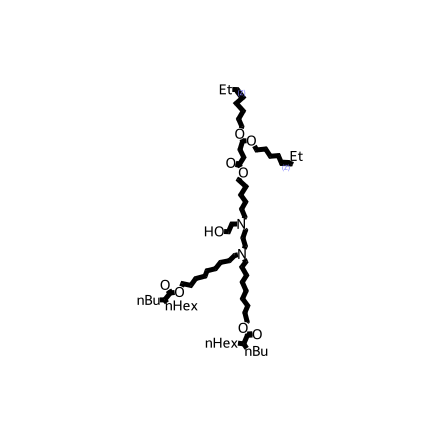 CC/C=C\CCCCOC(CCC(=O)OCCCCCCN(CCO)CCCN(CCCCCCCCCOC(=O)C(CCCC)CCCCCC)CCCCCCCCCOC(=O)C(CCCC)CCCCCC)OCCCC/C=C\CC